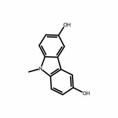 Cn1c2ccc(O)cc2c2cc(O)ccc21